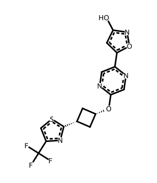 Oc1cc(-c2cnc(O[C@H]3C[C@@H](c4nc(C(F)(F)F)cs4)C3)cn2)on1